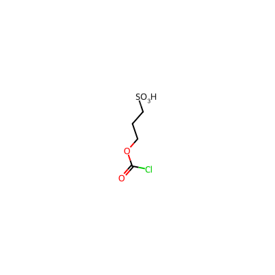 O=C(Cl)OCCCS(=O)(=O)O